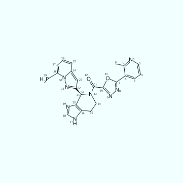 Cc1ncccc1-c1nnc(C(=O)N2CCc3[nH]cnc3[C@H]2c2cc3cccc(P)n3n2)o1